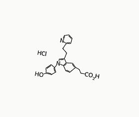 Cl.O=C(O)CCc1ccc2c(c1)c(CCc1ccccn1)cn2-c1ccc(O)cc1